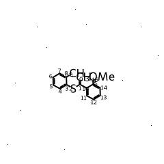 C=C(Sc1ccccc1C)c1ccccc1OC